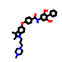 Cc1c(C)n(CCCN2CCN(C)CC2)c2ccc(Oc3ccc(C(=O)Nc4cc(O)c(-c5ccccc5)c(O)c4)cc3)cc12